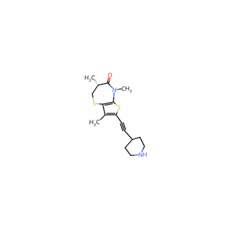 Cc1c(C#CC2CCNCC2)sc2c1SC[C@H](C)C(=O)N2C